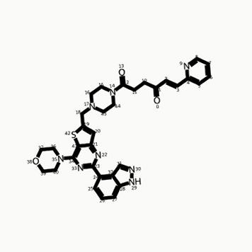 O=C(C=Cc1ccccn1)CCC(=O)N1CCN(Cc2cc3nc(-c4cccc5[nH]ncc45)nc(N4CCOCC4)c3s2)CC1